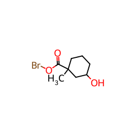 CC1(C(=O)OBr)CCCC(O)C1